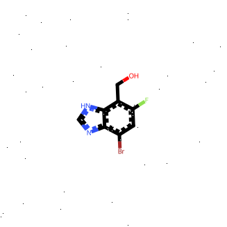 OCc1c(F)cc(Br)c2nc[nH]c12